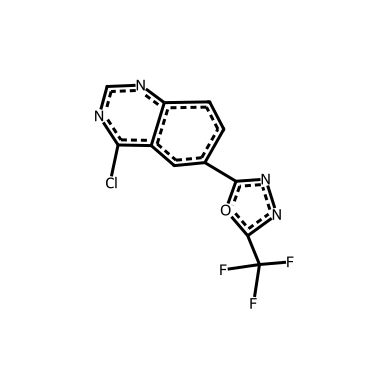 FC(F)(F)c1nnc(-c2ccc3ncnc(Cl)c3c2)o1